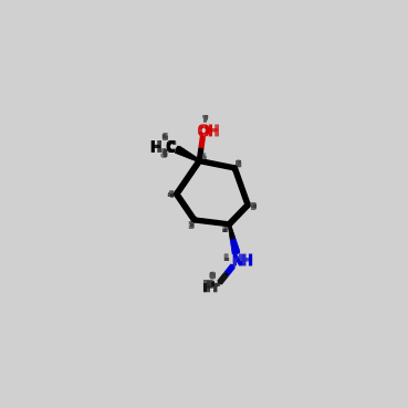 CC(C)N[C@H]1CC[C@](C)(O)CC1